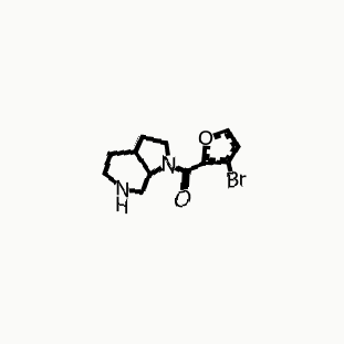 O=C(c1occc1Br)N1CCC2CCNCC21